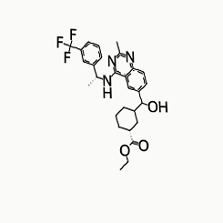 CCOC(=O)[C@@H]1CCCC(C(O)c2ccc3nc(C)nc(N[C@H](C)c4cccc(C(F)(F)F)c4)c3c2)C1